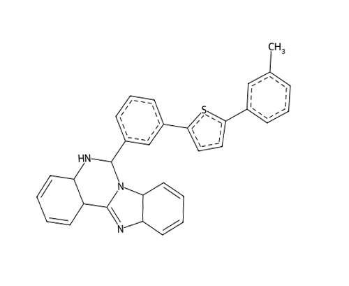 Cc1cccc(-c2ccc(-c3cccc(C4NC5C=CC=CC5C5=NC6C=CC=CC6N54)c3)s2)c1